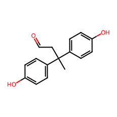 CC(CC=O)(c1ccc(O)cc1)c1ccc(O)cc1